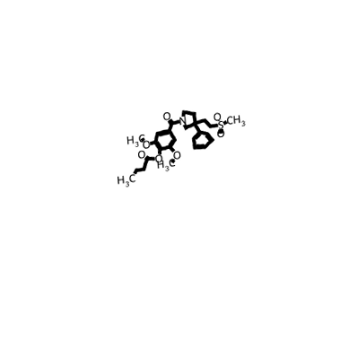 CCCC(=O)Oc1c(OC)cc(C(=O)N2CCC(CCS(C)(=O)=O)(c3ccccc3)C2)cc1OC